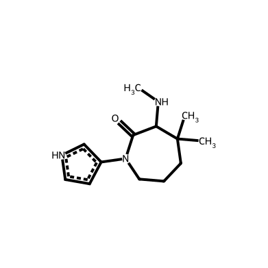 CNC1C(=O)N(c2cc[nH]c2)CCCC1(C)C